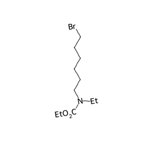 CCOC(=O)N(CC)CCCCCCBr